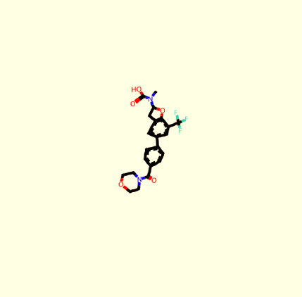 CN(C(=O)O)C1Cc2cc(-c3ccc(C(=O)N4CCOCC4)cc3)cc(C(F)(F)F)c2O1